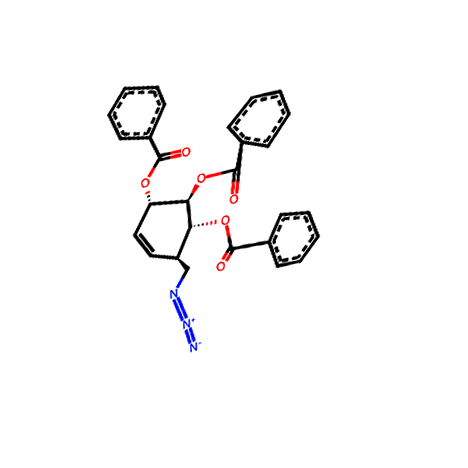 [N-]=[N+]=NC[C@H]1C=C[C@H](OC(=O)c2ccccc2)[C@@H](OC(=O)c2ccccc2)[C@@H]1OC(=O)c1ccccc1